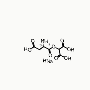 N[C@@H](CC(=O)O)C(=O)OC(C(=O)O)C(=O)O.[NaH]